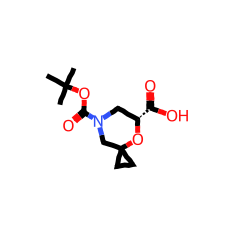 CC(C)(C)OC(=O)N1C[C@H](C(=O)O)OC2(CC2)C1